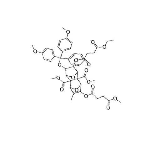 CCOC(=O)CCC(=O)OC1C(OC(c2ccccc2)(c2ccc(OC)cc2)c2ccc(OC)cc2)C2OC1C1(C(=O)OC)C3OC(C(C)C3OC(=O)CCC(=O)OC)C21C(=O)OC